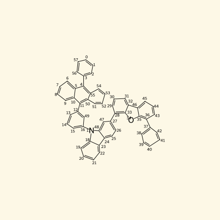 c1ccc(-c2c3ccccc3c(-c3cccc(-n4c5ccccc5c5ccc(-c6cccc7c6oc6c(-c8ccccc8)cccc67)cc54)c3)c3ccccc23)cc1